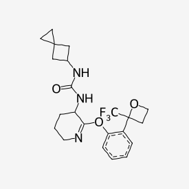 O=C(NC1CC2(CC2)C1)NC1CCCN=C1Oc1ccccc1C1(C(F)(F)F)CCO1